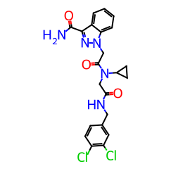 NC(=O)c1nn(CC(=O)N(CC(=O)NCc2ccc(Cl)c(Cl)c2)C2CC2)c2ccccc12